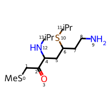 CSCC(=O)C(CC(CCN)SC(C)C)NC(C)C